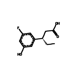 CC[C@@H](CC(=O)O)c1cc(O)cc(F)c1